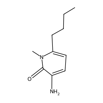 CCCCc1ccc(N)c(=O)n1C